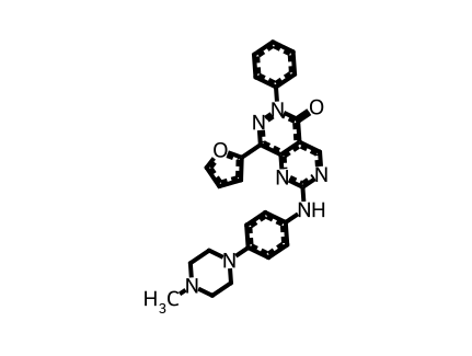 CN1CCN(c2ccc(Nc3ncc4c(=O)n(-c5ccccc5)nc(-c5ccco5)c4n3)cc2)CC1